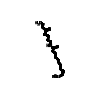 C/C=C/C(=O)OCCCNC(=O)CCCCCCC/C=C\CCCCCCCC